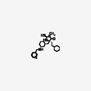 CN1C(=N)N[C@](CCC2CCCCC2)(C[C@@H]2CCC[C@@H](NCc3cccnc3)C2)C1=O